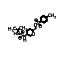 Cc1ccc(S(=O)(=O)OC[C@@H]2CC[C@@H](NS(=O)(=O)NC(C)C)CO2)cc1